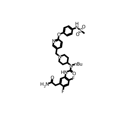 CCCCN(C(=O)Nc1cc(CC(N)=O)c(F)cc1F)C1CCN(Cc2ccc(Oc3ccc(NS(C)(=O)=O)cc3)nc2)CC1